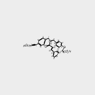 CCCCCCCCC#Cc1ccc(CN(Cc2ccc(OCC(=O)O)cc2)C(=O)C=Cc2ccccc2)cc1